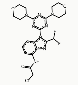 O=C(CCl)Nc1cccc2c1nc(C(F)F)n2-c1nc(N2CCOCC2)nc(N2CCOCC2)n1